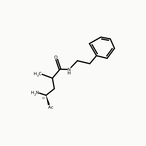 CC(=O)[C@@H](N)CC(C)C(=O)NCCc1ccccc1